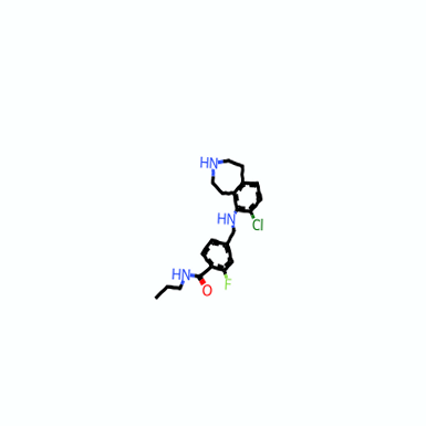 CCCNC(=O)c1ccc(CNc2c(Cl)ccc3c2CCNCC3)cc1F